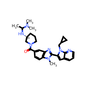 CC(N[C@@H]1CCCN(C(=O)c2ccc3c(c2)nc(-c2cc4cccnc4n2CC2CC2)n3C)C1)N(C)C